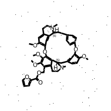 COc1ccc2cc1Oc1ccc(cc1)C[C@H]1c3cc(c(OC)cc3CCN1C)Oc1c(OC)c(OC)c(COC(=O)c3ccco3)c3c1[C@H](C2)N(C)CC3